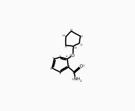 NC(=O)c1ccccc1OC1CCCCC1